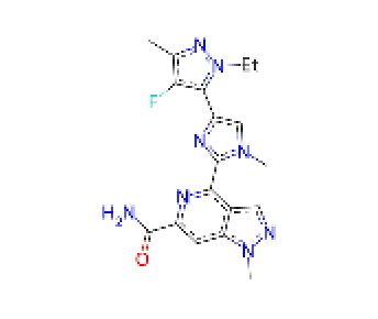 CCn1nc(C)c(F)c1-c1cn(C)c(-c2nc(C(N)=O)cc3c2cnn3C)n1